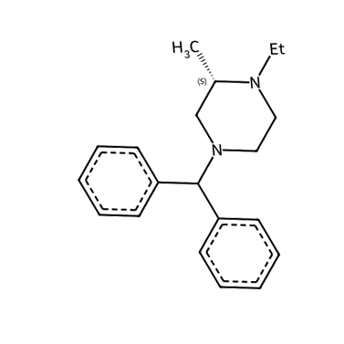 CCN1CCN(C(c2ccccc2)c2ccccc2)C[C@@H]1C